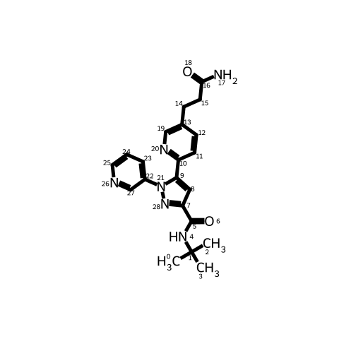 CC(C)(C)NC(=O)c1cc(-c2ccc(CCC(N)=O)cn2)n(-c2cccnc2)n1